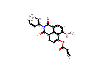 C=CC(=O)OC1=CCC2C(=O)N(C(/C=C\C)=C/C)C(=O)c3ccc(OC)c1c32